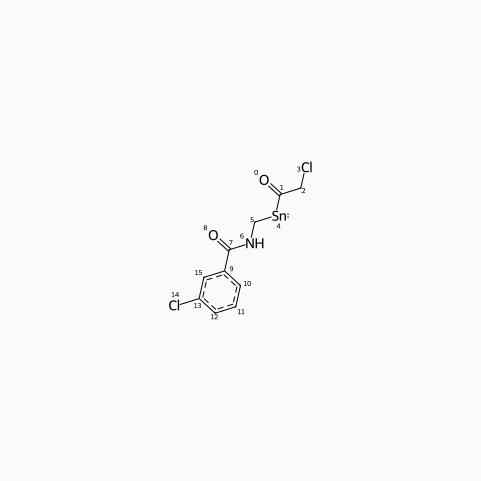 O=[C](CCl)[Sn][CH2]NC(=O)c1cccc(Cl)c1